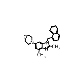 Cc1cc(N2CCOCC2)cc2c1nc(C)n2Cc1cccc2ccccc12